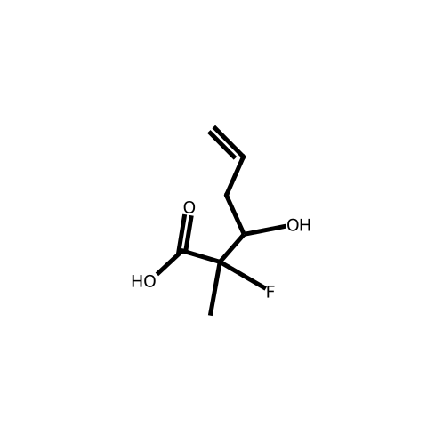 C=CCC(O)C(C)(F)C(=O)O